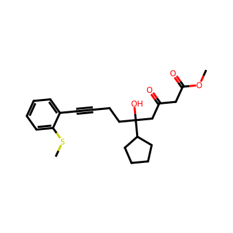 COC(=O)CC(=O)CC(O)(CCC#Cc1ccccc1SC)C1CCCC1